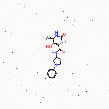 C=C1NC(=O)NC(C(=O)N[C@H]2CCN(c3ccccc3)C2)=C1O